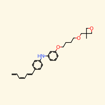 C=C/C=C\C=C\c1ccc(Nc2cccc(OCCCCOCC3(C)COC3)c2)cc1